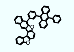 c1ccc(-c2c3ccccc3c(-c3cccc(-c4c5ccccc5cc5c4oc4ccc6oc7ccccc7c6c45)c3)c3ccccc23)cc1